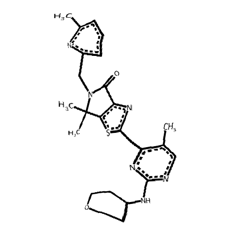 Cc1cccc(CN2C(=O)c3nc(-c4nc(NC5CCOCC5)ncc4C)sc3C2(C)C)n1